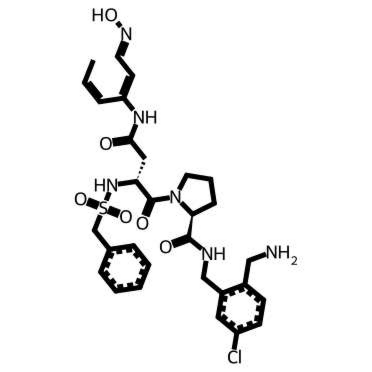 C\C=C/C(=C\C=N\O)NC(=O)C[C@@H](NS(=O)(=O)Cc1ccccc1)C(=O)N1CCC[C@H]1C(=O)NCc1cc(Cl)ccc1CN